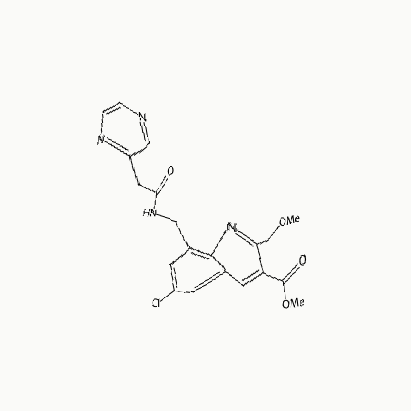 COC(=O)c1cc2cc(Cl)cc(CNC(=O)Cc3cnccn3)c2nc1OC